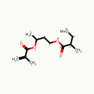 C=C(C)C(=O)OC(C)CCOC(=O)C(C)COC